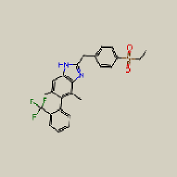 CCS(=O)(=O)c1ccc(Cc2nc3c(C)c(-c4ccccc4C(F)(F)F)c(C)cc3[nH]2)cc1